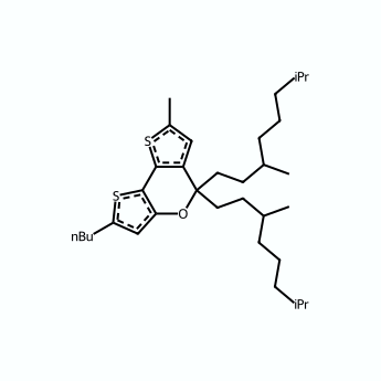 CCCCc1cc2c(s1)-c1sc(C)cc1C(CCC(C)CCCC(C)C)(CCC(C)CCCC(C)C)O2